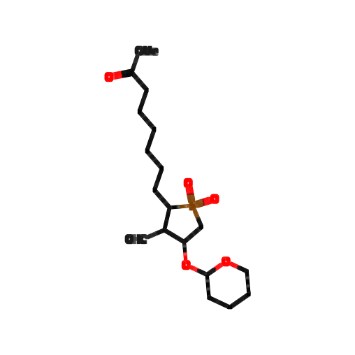 COC(=O)CCCCCCC1C(C=O)C(OC2CCCCO2)CS1(=O)=O